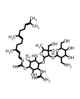 CC(C)=CCC/C(C)=C/CC/C(C)=C/C=NC(=N)OC1C(C)C(O)C(OC2OC(C)C(O)(CO)C2OC2OC(CO)C(O)C(O)C2CN)C(NC(=N)N)C1O